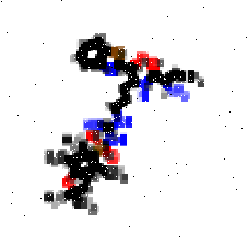 CCC(N)C(=O)NC(CCCNC(=N)NS(=O)(=O)c1c(C)c(C)c2c(c1C)CC(C)(C)O2)C(=O)c1nc2ccccc2s1